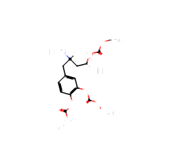 CCC(C)OC(=O)Oc1ccc(CC(N)(C[C@H](C)OC(=O)OC(C)CC)C(=O)O)cc1OC(=O)OC(C)CC